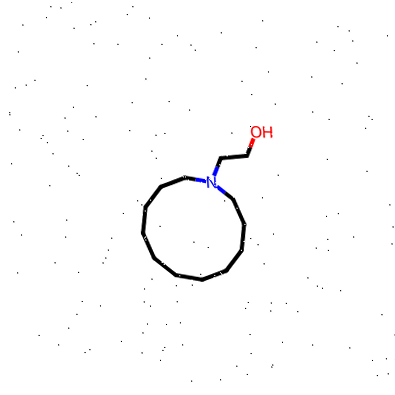 OCCN1CCCCCCCCCCC1